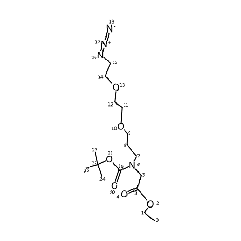 CCOC(=O)CN(CCCOCCOCCN=[N+]=[N-])C(=O)OC(C)(C)C